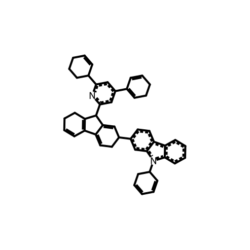 C1=CCC(n2c3ccccc3c3ccc(C4C=C5C(=CC4)C4=C(CCC=C4)C5c4cc(C5=CCCC=C5)cc(C5C=CCCC5)n4)cc32)C=C1